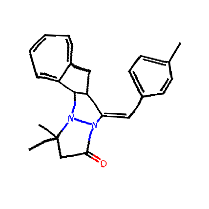 Cc1ccc(/C=C2\C3Cc4ccccc4C3N3N2C(=O)CC3(C)C)cc1